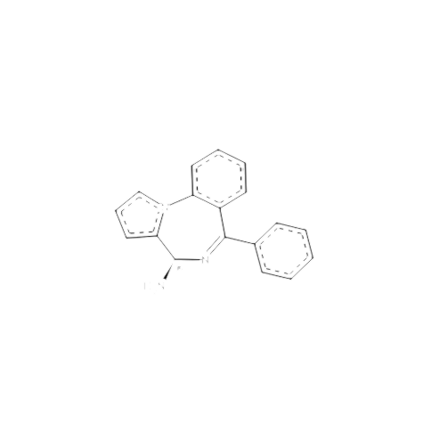 N[C@@H]1N=C(c2ccccc2)c2ccccc2-n2cccc21